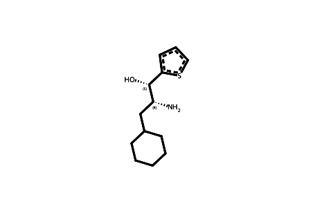 N[C@H](CC1CCCCC1)[C@H](O)c1cccs1